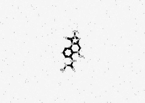 CN1Cc2nn(C)c(=O)n2-c2cccc(NC(=O)OC(C)(C)C)c21